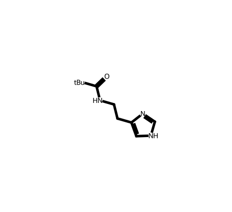 CC(C)(C)C(=O)NCCc1c[nH]cn1